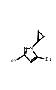 CC(C)c1cc(C(C)(C)C)n(C2CC2)n1